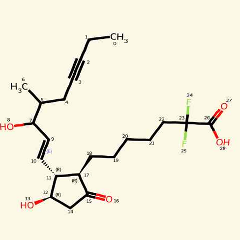 CCC#CCC(C)C(O)/C=C/[C@H]1[C@H](O)CC(=O)[C@@H]1CCCCCC(F)(F)C(=O)O